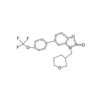 O=c1oc2ccc(-c3ccc(OC(F)(F)F)cc3)cc2n1CC1CCCOC1